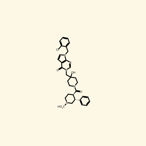 O=C(O)N1CC[C@@H](C(=O)N2CCC(O)(Cn3cnc4c(ccn4Cc4ccccc4Cl)c3=O)CC2)[C@H](c2ccccc2)C1